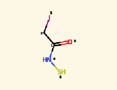 O=C(CI)NS